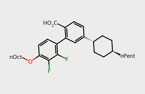 CCCCCCCCOc1ccc(-c2cc([C@H]3CC[C@H](CCCCC)CC3)ccc2C(=O)O)c(F)c1F